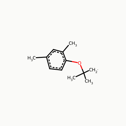 [CH2]C(C)(C)Oc1ccc(C)cc1C